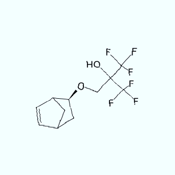 OC(CO[C@H]1CC2C=CC1C2)(C(F)(F)F)C(F)(F)F